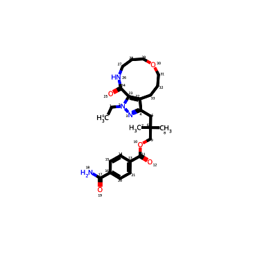 CCn1nc(CC(C)(C)COC(=O)c2ccc(C(N)=O)cc2)c2c1C(=O)NCCCOCCC2